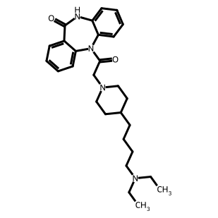 CCN(CC)CCCCC1CCN(CC(=O)N2c3ccccc3NC(=O)c3ccccc32)CC1